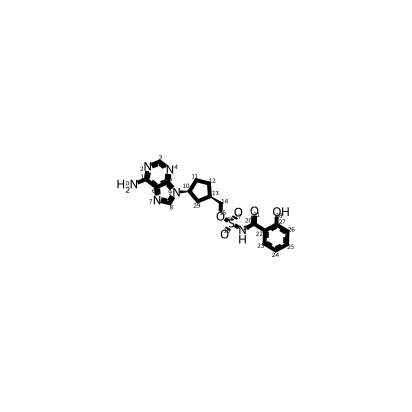 Nc1ncnc2c1ncn2[C@H]1CC[C@@H](COS(=O)(=O)NC(=O)c2ccccc2O)C1